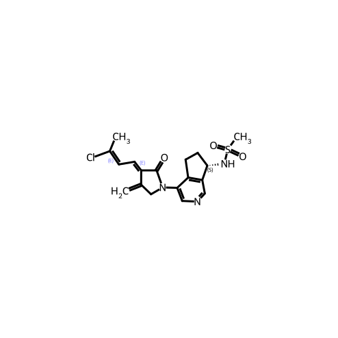 C=C1CN(c2cncc3c2CC[C@@H]3NS(C)(=O)=O)C(=O)/C1=C/C=C(\C)Cl